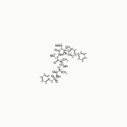 CNC(C(=O)N[C@H](C(=O)N(C)[C@H](/C=C(\C)C(=O)NS(=O)(=O)Cc1ccccc1)C(C)C)C(C)(C)C)C(C)(C)c1ccc(-c2ccccc2)cc1